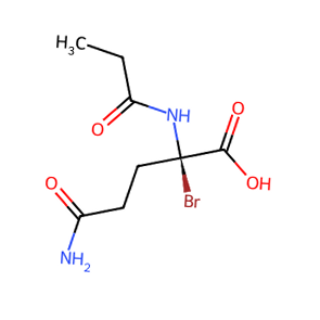 CCC(=O)N[C@@](Br)(CCC(N)=O)C(=O)O